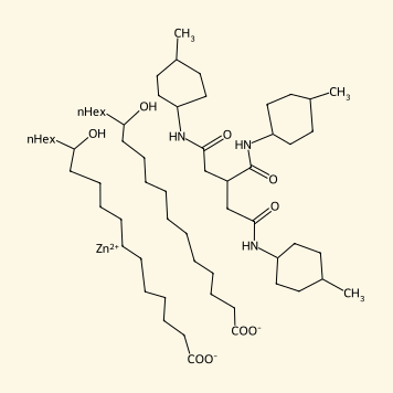 CC1CCC(NC(=O)CC(CC(=O)NC2CCC(C)CC2)C(=O)NC2CCC(C)CC2)CC1.CCCCCCC(O)CCCCCCCCCCC(=O)[O-].CCCCCCC(O)CCCCCCCCCCC(=O)[O-].[Zn+2]